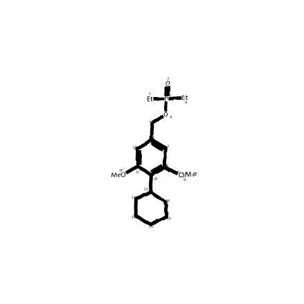 CCP(=O)(CC)OCc1cc(OC)c(C2CCCCC2)c(OC)c1